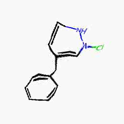 ClN1C=C(c2ccccc2)C=CN1